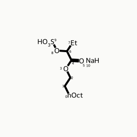 CCCCCCCCCCOC(=O)C(CC)OS(=O)(=O)O.[NaH]